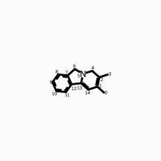 CC1=C(C)CN2Cc3ccccc3C2=C1